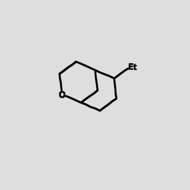 CCC1CCC2CC1CCO2